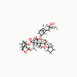 CC1(OC(=O)C(C)(C)C(C)(C(=O)OC2CC3CC(CC(C)(O)C(F)(F)F)C2C3)C(C)(C)C(=O)OC2C3CC4C(=O)OC2C4C3)CCCC1